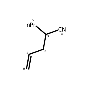 C=CCC(C#N)CCC